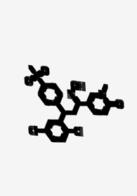 Cn1cc(C(CC(c2ccc(S(C)(=O)=O)cc2)c2cc(Cl)ccc2Cl)=NO)ccc1=O